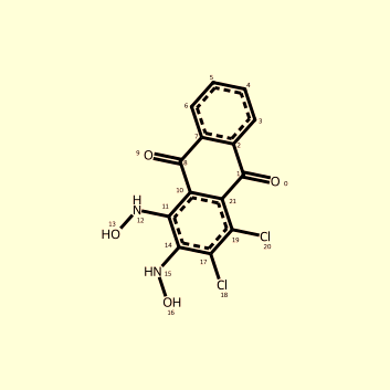 O=C1c2ccccc2C(=O)c2c(NO)c(NO)c(Cl)c(Cl)c21